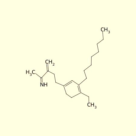 C=C(CCC1=CC(CCCCCCCC)=C(CC)CC1)C(C)=N